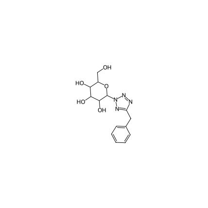 OCC1OC(n2nnc(Cc3ccccc3)n2)C(O)C(O)C1O